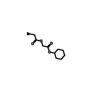 O=C(CBr)OCC(=O)OC1CCCCC1